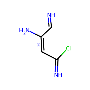 N=C/C(N)=C\C(=N)Cl